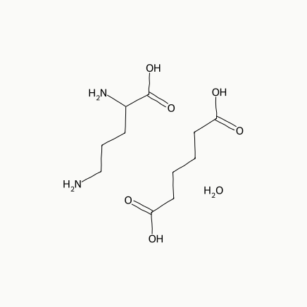 NCCCC(N)C(=O)O.O.O=C(O)CCCCC(=O)O